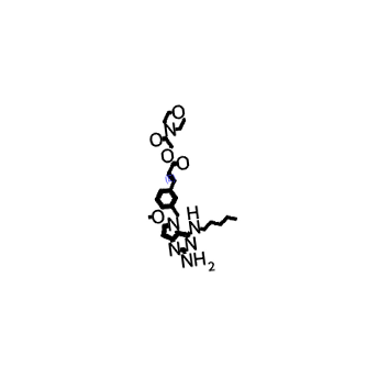 CCCCCNc1nc(N)nc2ccn(Cc3cc(/C=C/C(=O)OCC(=O)N4CCOCC4)ccc3OC)c12